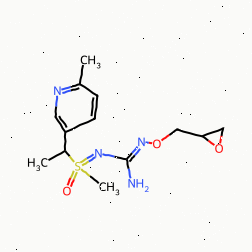 Cc1ccc(C(C)S(C)(=O)=N/C(N)=N/OCC2CO2)cn1